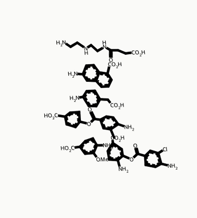 COc1cc(C(=O)O)ccc1N.Cc1cc(C(=O)Oc2ccc(C(=O)O)cc2)ccc1N.NCCNCCNC(=O)CCC(=O)O.Nc1ccc(C(=O)Oc2cc(C(=O)O)ccc2N)cc1Cl.Nc1ccc(CC(=O)O)cc1.Nc1ccc2c(C(=O)O)cccc2c1